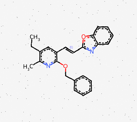 CCc1cc(/C=C/c2nc3ccccc3o2)c(OCc2ccccc2)nc1C